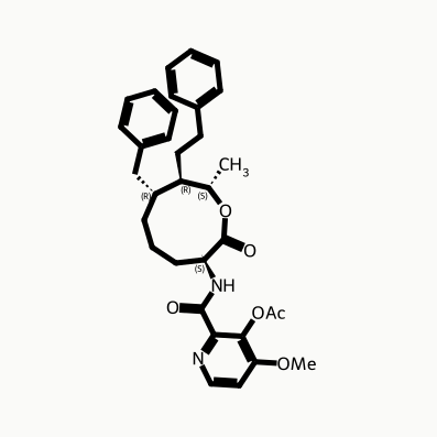 COc1ccnc(C(=O)N[C@H]2CCC[C@H](Cc3ccccc3)[C@@H](CCc3ccccc3)[C@H](C)OC2=O)c1OC(C)=O